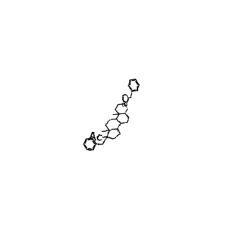 CC(=O)C1(Cc2ccccc2)CCC2C3CC=C4C[C@@H](OCc5ccccc5)CCC4(C)C3CCC21C